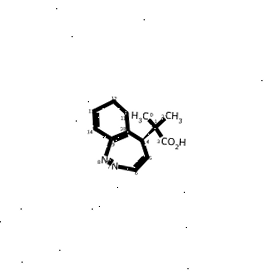 CC(C)(C(=O)O)[C@H]1C=CN=NC2=C1CCC=C2